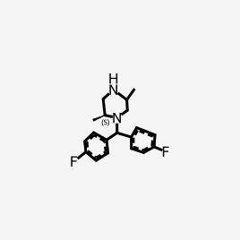 CC1CN(C(c2ccc(F)cc2)c2ccc(F)cc2)[C@@H](C)CN1